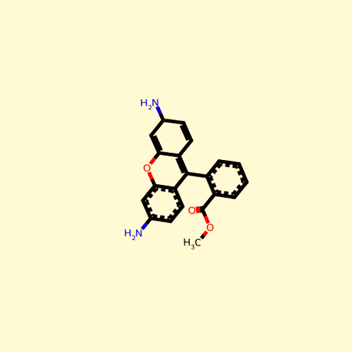 COC(=O)c1ccccc1C1=C2C=CC(N)C=C2Oc2cc(N)ccc21